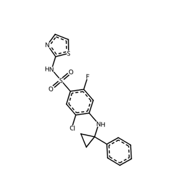 O=S(=O)(Nc1nccs1)c1cc(Cl)c(NC2(c3ccccc3)CC2)cc1F